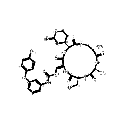 Cc1ccc(Oc2cccc(NC(=O)N/C=C3\NC(=O)[C@H](CN)NC(=O)[C@H](C)NC(=O)[C@@H](N)CNC(=O)[C@H](C4CCNC(=N)N4)NC3=O)c2)cc1